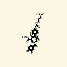 CCN(CC)CCCNC(=O)Oc1ccc2c3c([nH]c2c1)C(C(=O)OC(C)C)=CN(C(=O)c1ccc(F)c(F)c1)CC3(C)C